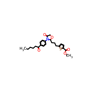 CCCCCC(=O)c1ccc(N2C(=O)COC2CCCc2ccc(C(=O)OC)s2)cc1